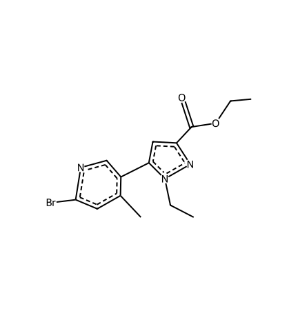 CCOC(=O)c1cc(-c2cnc(Br)cc2C)n(CC)n1